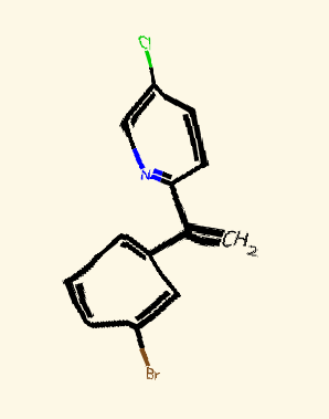 C=C(c1cccc(Br)c1)c1ccc(Cl)cn1